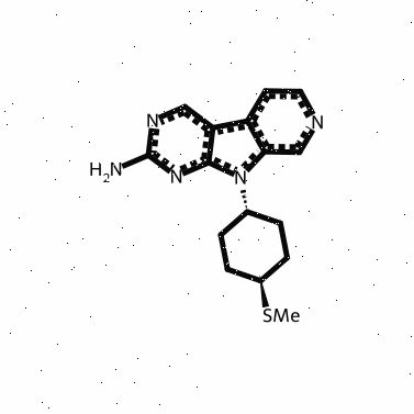 CS[C@H]1CC[C@H](n2c3cnccc3c3cnc(N)nc32)CC1